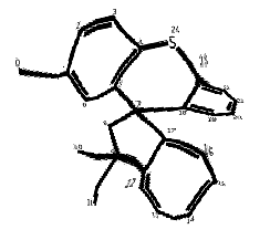 Cc1ccc2c(c1)C1(CC(C)(C)c3ccccc31)c1ccccc1S2